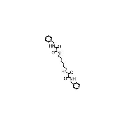 O=C(NCCCCCCNC(=O)C(=O)NCc1ccccc1)C(=O)NCc1ccccc1